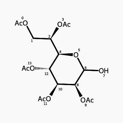 CC(=O)OC[C@@H](OC(C)=O)[C@H]1OC(O)[C@@H](OC(C)=O)[C@@H](OC(C)=O)[C@@H]1OC(C)=O